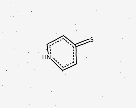 S=c1c[c][nH]cc1